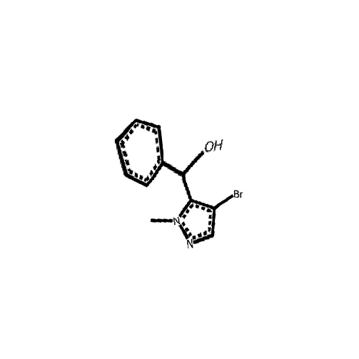 Cn1ncc(Br)c1C(O)c1ccccc1